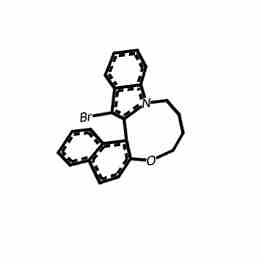 Brc1c2n(c3ccccc13)CCCCOc1ccc3ccccc3c1-2